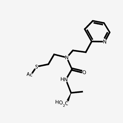 CC(=O)SCCN(CCc1ccccn1)C(=O)N[C@@H](C)C(=O)O